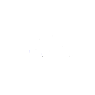 CCN(C=O)c1nc2cc(CBr)ccc2o1